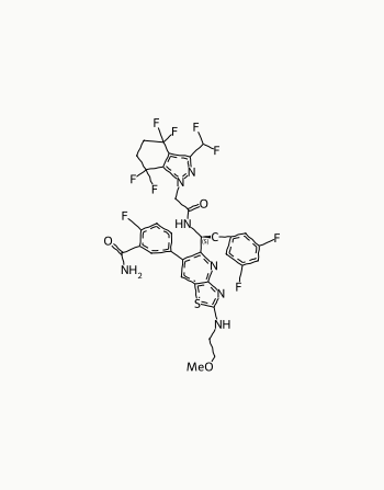 COCCNc1nc2nc([C@H](Cc3cc(F)cc(F)c3)NC(=O)Cn3nc(C(F)F)c4c3C(F)(F)CCC4(F)F)c(-c3ccc(F)c(C(N)=O)c3)cc2s1